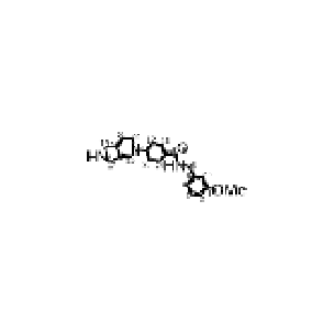 COc1cccc(CNC(=O)c2ccc(N3C=C4CNCC4=CC3)cc2)c1